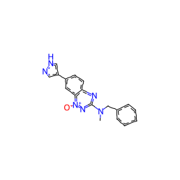 CN(Cc1ccccc1)c1nc2ccc(-c3cn[nH]c3)cc2[n+]([O-])n1